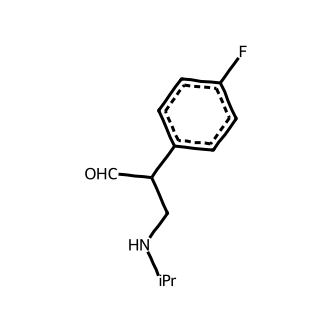 CC(C)NCC(C=O)c1ccc(F)cc1